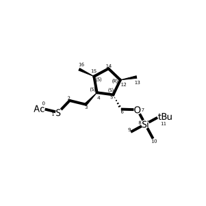 CC(=O)SCC[C@@H]1[C@@H](CO[Si](C)(C)C(C)(C)C)[C@H](C)C[C@@H]1C